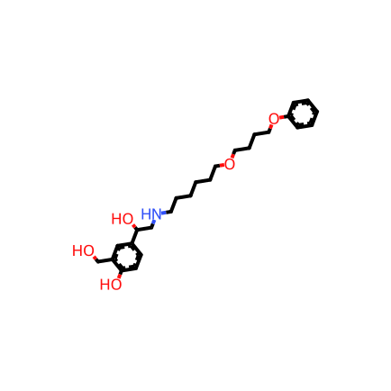 OCc1cc(C(O)CNCCCCCCOCCCCOc2ccccc2)ccc1O